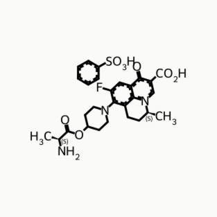 C[C@H](N)C(=O)OC1CCN(c2c(F)cc3c(=O)c(C(=O)O)cn4c3c2CC[C@@H]4C)CC1.O=S(=O)(O)c1ccccc1